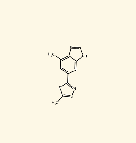 Cc1nnc(-c2cc(C)c3nc[nH]c3c2)o1